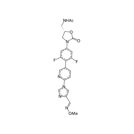 CO/N=C/c1cn(-c2ccc(-c3c(F)cc(N4C[C@H](CNC(C)=O)OC4=O)cc3F)cn2)cn1